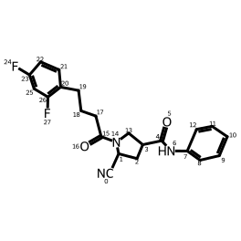 N#CC1CC(C(=O)Nc2ccccc2)CN1C(=O)CCCc1ccc(F)cc1F